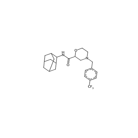 O=C(NC1C2CC3CC(C2)CC1C3)C1CN(Cc2ccc(C(F)(F)F)cc2)CCO1